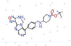 CCn1c(-c2nonc2N)nc2cncc(-c3ccc(CNC4CCN(C(=O)OC(C)(C)C)CC4)cc3)c21